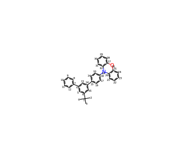 CC(C)(C)c1cc(-c2ccccc2)cc(-c2ccc(N3c4ccccc4Oc4ccccc43)cc2)c1